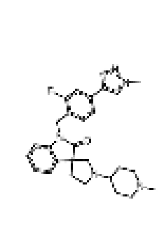 CN1CCC(N2CCC3(C2)C(=O)N(Cc2ccc(-c4cnn(C)c4)cc2F)c2ccccc23)CC1